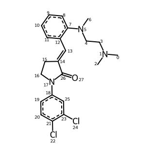 CN(C)CCN(C)c1ccccc1/C=C1\CCN(c2ccc(Cl)c(Cl)c2)C1=O